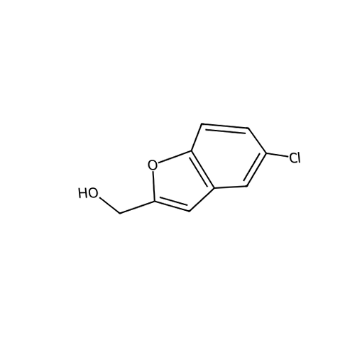 OCc1cc2cc(Cl)ccc2o1